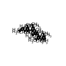 CC(c1cc(C(C)(C)C)ccc1O)c1cc(C(C)(C)C)cc(C(C)c2cc(C(C)(C)C)cc(C(C)c3cc(C(C)(C)C)cc(C(C)c4cc(C(C)(C)C)cc(C(C)c5cc(C(C)(C)C)ccc5O)c4O)c3O)c2O)c1O